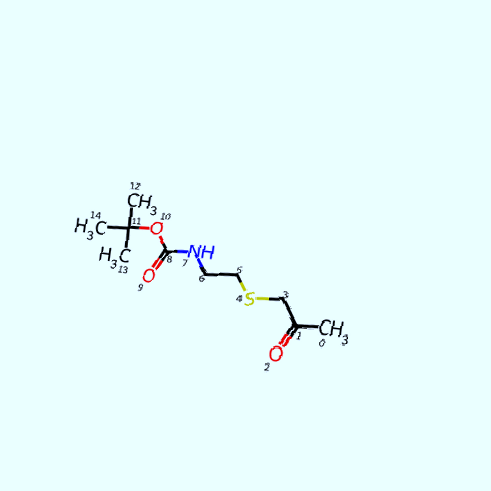 CC(=O)CSCCNC(=O)OC(C)(C)C